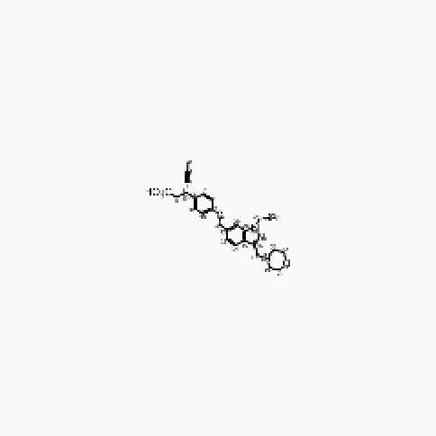 CC#C[C@@H](CC(=O)O)c1ccc(OCc2ccc3c(CN4CCOCC4)nn(CC(C)C)c3c2)cc1